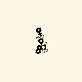 CC(C)(C(=O)Nc1ccc(N2C(=O)CC(=O)Nc3c2ccc2ccccc32)cc1)c1ccccc1